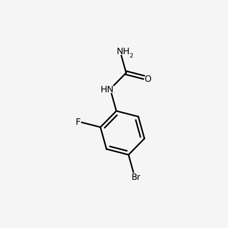 NC(=O)Nc1ccc(Br)cc1F